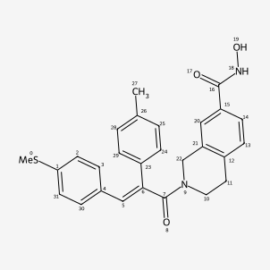 CSc1ccc(C=C(C(=O)N2CCc3ccc(C(=O)NO)cc3C2)c2ccc(C)cc2)cc1